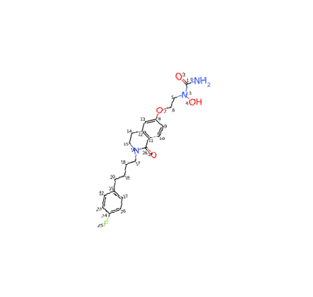 NC(=O)N(O)CCOc1ccc2c(c1)CCN(CCCCc1ccc(F)cc1)C2=O